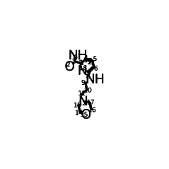 NC(=O)c1[c]ccc(NCCCN2CCOCC2)n1